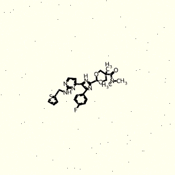 CN(C)C(=O)C1(C)COC(c2nc(-c3ccc(F)cc3)c(-c3ccnc(NCc4cccs4)n3)[nH]2)OC1